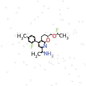 C=C(N)c1cc(-c2ccc(C)cc2F)c2c(n1)O[C@H](COC(C)F)CC2